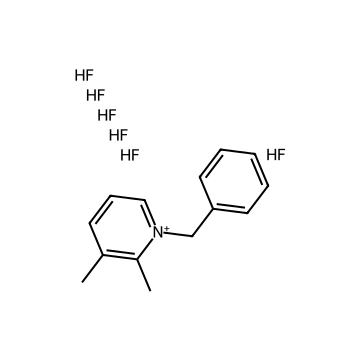 Cc1ccc[n+](Cc2ccccc2)c1C.F.F.F.F.F.F